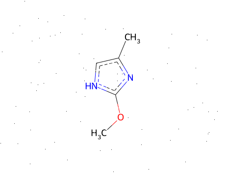 COc1nc(C)c[nH]1